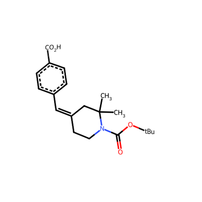 CC(C)(C)OC(=O)N1CCC(=Cc2ccc(C(=O)O)cc2)CC1(C)C